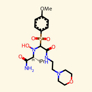 COc1ccc(S(=O)(=O)C(C(=O)NCCN2CCOCC2)N(O)[C@@H](C(N)=O)C(C)C)cc1